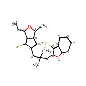 CC1OC(CC(C)(C)C)C2C(F)C(CC(C)(C)CC3OC4CCCCC4C3F)CC12